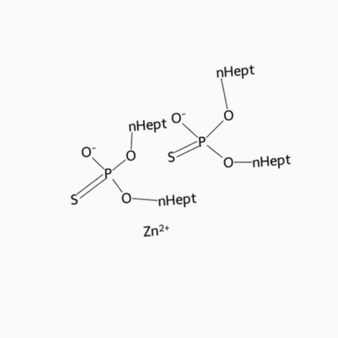 CCCCCCCOP([O-])(=S)OCCCCCCC.CCCCCCCOP([O-])(=S)OCCCCCCC.[Zn+2]